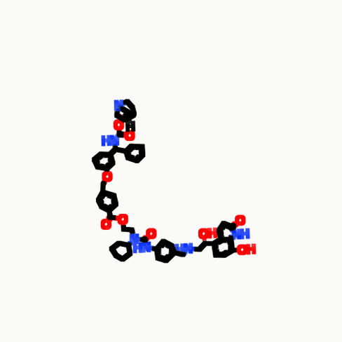 O=C(NC(c1ccccc1)c1cccc(OCc2ccc(C(=O)OCCN(C(=O)Nc3ccc(CNC[C@H](O)c4ccc(O)c5[nH]c(=O)ccc45)cc3)C3CCCCC3)cc2)c1)O[C@H]1CN2CCC1CC2